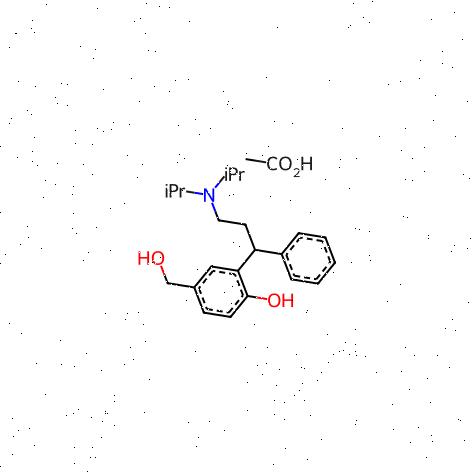 CC(=O)O.CC(C)N(CCC(c1ccccc1)c1cc(CO)ccc1O)C(C)C